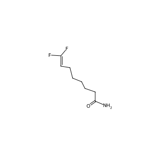 NC(=O)CCCCCC=C(F)F